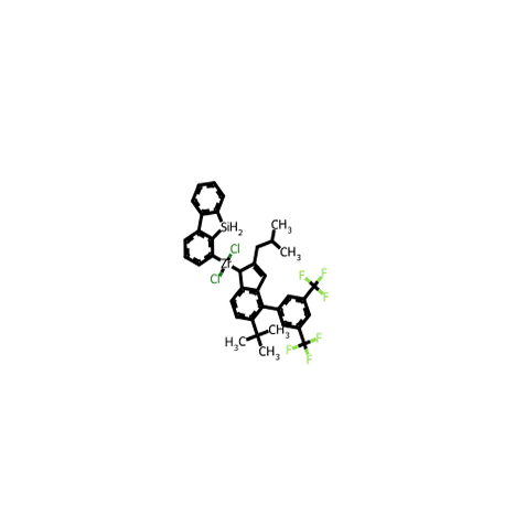 CC(C)CC1=Cc2c(ccc(C(C)(C)C)c2-c2cc(C(F)(F)F)cc(C(F)(F)F)c2)[CH]1[Zr]([Cl])([Cl])[c]1cccc2c1[SiH2]c1ccccc1-2